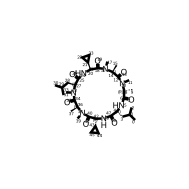 CC(C)C[C@H]1NC(=O)[C@@H](C)N(C)C(=O)[C@H](C)N(C)C(=O)[C@H](C2CC2)NC(=O)[C@H](CC(C)C)N(C)C(=O)[C@H](C)N(C)C(=O)[C@@H](C2CC2)NC1=O